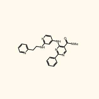 CNC(=O)c1cnc(-c2ccccc2)nc1Nc1ccnc(NCCc2ccccn2)c1